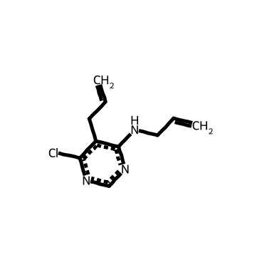 C=CCNc1ncnc(Cl)c1CC=C